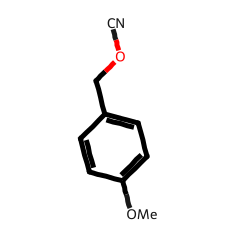 COc1ccc(COC#N)cc1